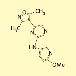 COc1ccc(Nc2cncc(-c3c(C)noc3C)n2)cn1